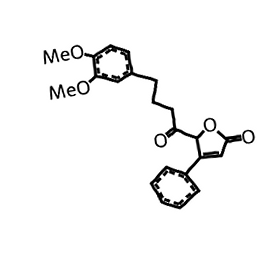 COc1ccc(CCCC(=O)C2OC(=O)C=C2c2ccccc2)cc1OC